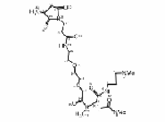 CNCCCNC(=O)[C@H](CC(=O)NC)N(C)C(=O)COCCOCCNC(=O)CCN1C(=O)CC(C)C1=O